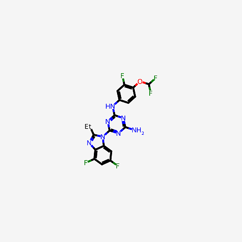 CCc1nc2c(F)cc(F)cc2n1-c1nc(N)nc(Nc2ccc(OC(F)F)c(F)c2)n1